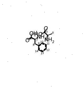 C[C@@H](N)C(=O)O.N[C@@H](Cc1ccccc1)C(=O)O